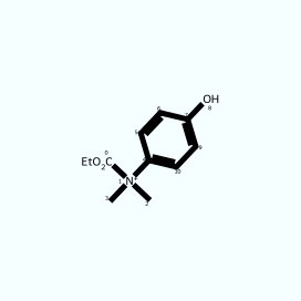 CCOC(=O)[N+](C)(C)c1ccc(O)cc1